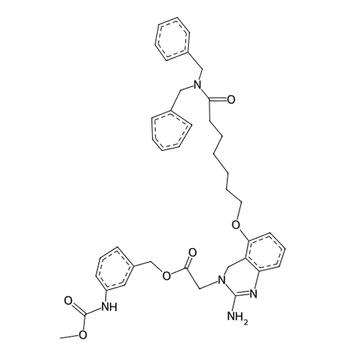 COC(=O)Nc1cccc(COC(=O)CN2Cc3c(cccc3OCCCCCCC(=O)N(Cc3ccccc3)Cc3ccccc3)N=C2N)c1